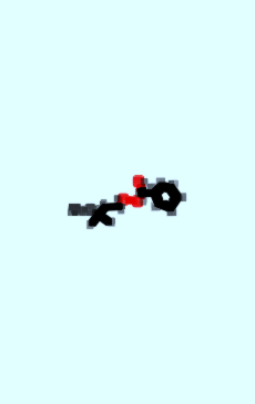 COC(C)(C)C[CH]OOC(=O)c1ccccc1